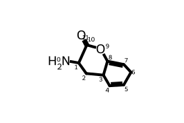 NC1CC2C=CCC=C2OC1=O